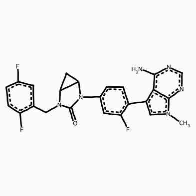 Cn1cc(-c2ccc(N3C(=O)N(Cc4cc(F)ccc4F)C4CC43)cc2F)c2c(N)ncnc21